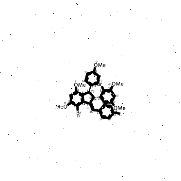 COc1ccc([C@@H]2c3c(OC)cc(OC)c(Br)c3/C(=C/c3ccc(C)cc3)[C@H]2c2cc(OC)cc(OC)c2Br)cc1